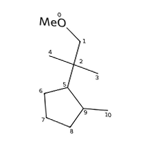 COCC(C)(C)C1CCCC1C